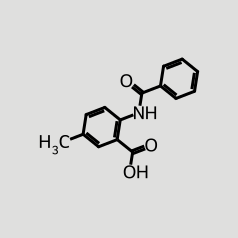 Cc1ccc(NC(=O)c2ccccc2)c(C(=O)O)c1